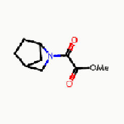 COC(=O)C(=O)N1CC2CCC1C2